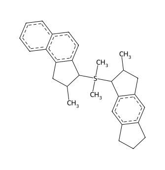 CC1Cc2cc3c(cc2C1S(C)(C)C1c2ccc4ccccc4c2CC1C)CCC3